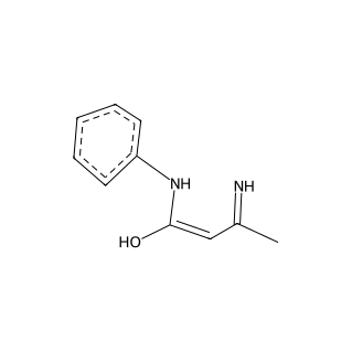 CC(=N)/C=C(/O)Nc1ccccc1